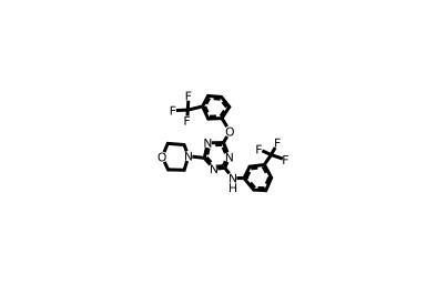 FC(F)(F)c1cccc(Nc2nc(Oc3cccc(C(F)(F)F)c3)nc(N3CCOCC3)n2)c1